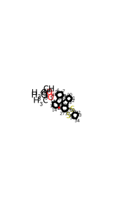 CC1(C)OB(c2cccc3c2-c2ccccc2C32c3ccccc3-c3c2ccc2c3Sc3ccccc3S2)OC1(C)C